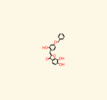 O=C1C(=Cc2ccc(OCc3ccccc3)cc2O)Oc2c1ccc(O)c2O